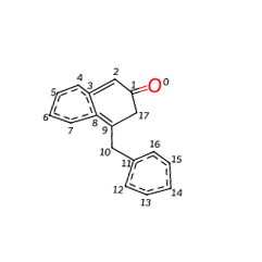 O=C1C=c2ccccc2=C(Cc2ccccc2)C1